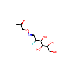 CC(=O)CON=CC(F)C(O)C(O)C(O)CO